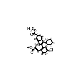 COC(=O)c1ccc2c(C3CCCCC3)c3n(c2c1)CC(C(=O)O)=Cc1ccc(Cl)cc1-3